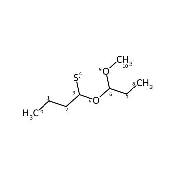 CCCC([S])OC(CC)OC